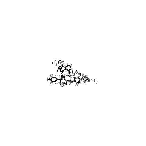 COC(=O)c1ccccc1C(=O)OC[C@@]1(c2ccc(F)cc2)CON=C2/C(=C/c3ccc(-n4cnc(C)c4)c(OC)c3)CCCN21